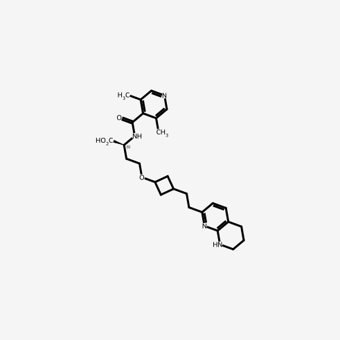 Cc1cncc(C)c1C(=O)N[C@@H](CCOC1CC(CCc2ccc3c(n2)NCCC3)C1)C(=O)O